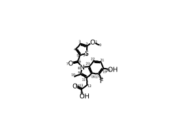 COc1ccc(C(=O)n2c(C)c(CC(=O)O)c3c(F)c(O)ccc32)s1